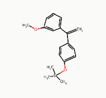 C=C(c1ccc(O[Si](C)(C)C)cc1)c1cccc(OC)c1